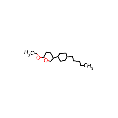 CCCCCC1CCC(C2CCC(OCC)OC2)CC1